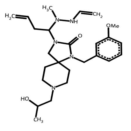 C=CCC(N(C)NC=C)N1CC2(CCN(CC(C)O)CC2)N(Cc2cccc(OC)c2)C1=O